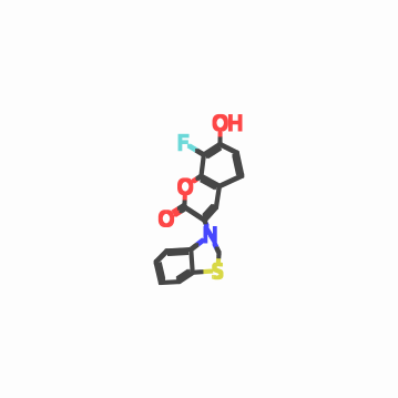 O=c1oc2c(F)c(O)ccc2cc1N1CSc2ccccc21